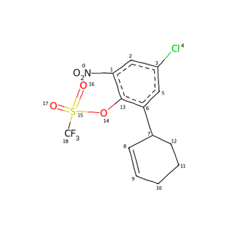 O=[N+]([O-])c1cc(Cl)cc(C2C=CCCC2)c1OS(=O)(=O)C(F)(F)F